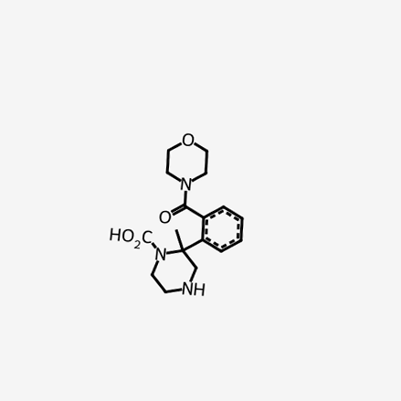 CC1(c2ccccc2C(=O)N2CCOCC2)CNCCN1C(=O)O